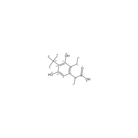 CCc1c(C(C)C(=O)O)cc(O)c(C(C)(C)C)c1O